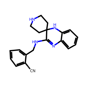 N#Cc1ccccc1CNC1=Nc2ccccc2NC12CCNCC2